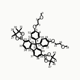 COCCOc1ccc(C2(c3ccc(OCCOC)cc3)c3cc(B4OC(C)(C)C(C)(C)O4)ccc3-c3ccc(B4OC(C)(C)C(C)(C)O4)cc32)cc1